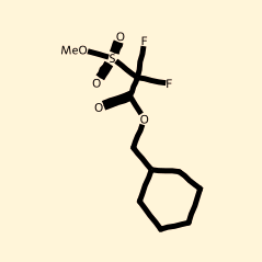 COS(=O)(=O)C(F)(F)C(=O)OCC1CCCCC1